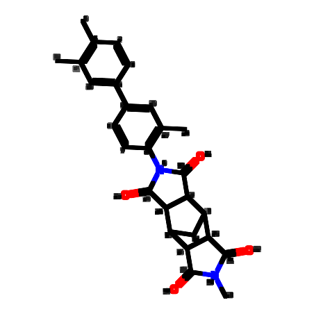 Cc1ccc(-c2ccc(N3C(=O)C4C5CC(C6C(=O)N(C)C(=O)C56)C4C3=O)c(C)c2)cc1C